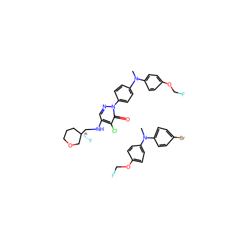 CN(c1ccc(Br)cc1)c1ccc(OCF)cc1.CN(c1ccc(OCF)cc1)c1ccc(-n2ncc(NC[C@]3(F)CCCOC3)c(Cl)c2=O)cc1